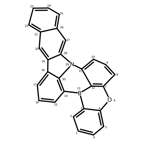 c1ccc2c(c1)Oc1cccc3c1B2c1cccc2c4cc5ccccc5cc4n-3c12